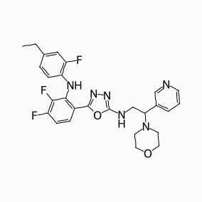 CCc1ccc(Nc2c(-c3nnc(NCC(c4cccnc4)N4CCOCC4)o3)ccc(F)c2F)c(F)c1